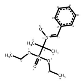 CCOP(=O)(OCC)C(C)(C)[N+]([O-])=Cc1ccccc1